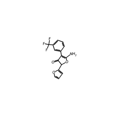 NC1=C(c2cccc(C(F)(F)F)c2)C(=O)C(c2ccco2)O1